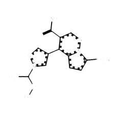 CCOC(C)n1cc(-c2c(C(N)=O)cnn3c(C(=O)O)ccc23)cn1